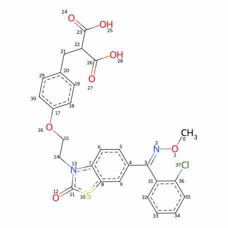 CON=C(c1ccc2c(c1)sc(=O)n2CCOc1ccc(CC(C(=O)O)C(=O)O)cc1)c1ccccc1Cl